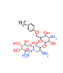 Cc1ccc(OCC2OC(OC3C(O)C(OC4OC(CN)C(O)C(O)C4O)C(N)C[C@@H]3N)C(O)C(N)C2O)cc1